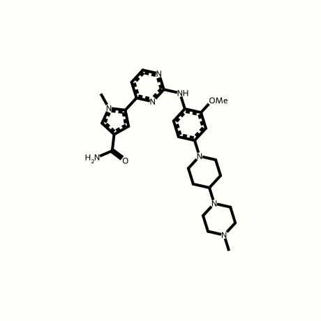 COc1cc(N2CCC(N3CCN(C)CC3)CC2)ccc1Nc1nccc(-c2cc(C(N)=O)cn2C)n1